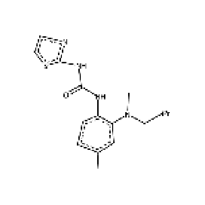 Cc1ccc(NC(=O)Nc2nccs2)c(N(C)CC(C)C)c1